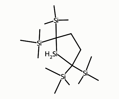 C[Si](C)(C)C1([Si](C)(C)C)CCC([Si](C)(C)C)([Si](C)(C)C)[SiH2]1